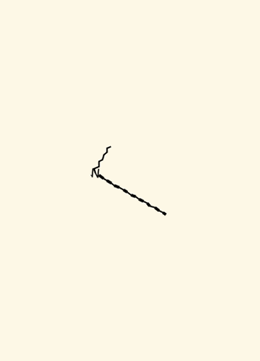 C#CC#CC#CC#CC#CC#CC#CC#CC#CN(C)CCCCCCCC